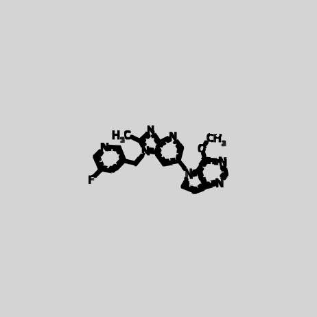 COc1ncnc2ccn(-c3cnc4nc(C)n(Cc5cncc(F)c5)c4c3)c12